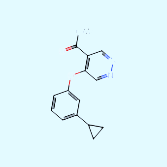 COC(=O)c1cnncc1Oc1cccc(C2CC2)c1